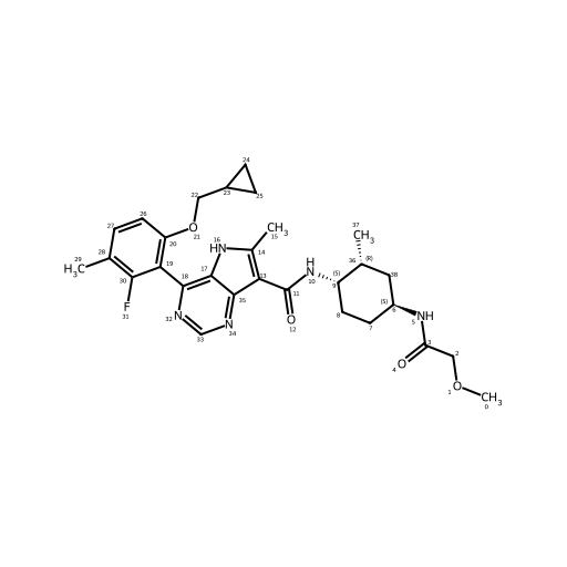 COCC(=O)N[C@H]1CC[C@H](NC(=O)c2c(C)[nH]c3c(-c4c(OCC5CC5)ccc(C)c4F)ncnc23)[C@H](C)C1